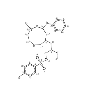 CCC(COS(=O)(=O)c1ccc(C)cc1)CC1CCCCN(C)CC(Cc2ccccc2)C1